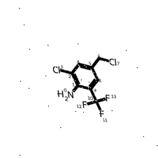 Nc1c(Cl)cc(CCl)cc1C(F)(F)F